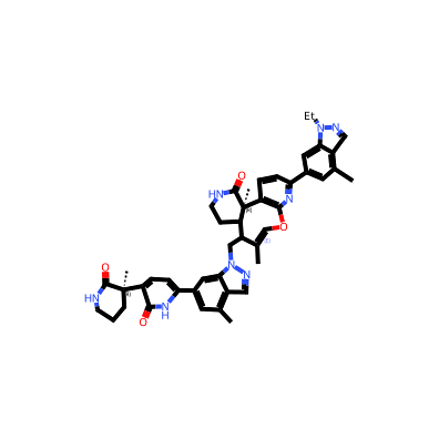 CCn1ncc2c(C)cc(-c3ccc4c(n3)O/C=C(\C)C(Cn3ncc5c(C)cc(-c6ccc([C@@]7(C)CCCNC7=O)c(=O)[nH]6)cc53)C3CCNC(=O)[C@@]43C)cc21